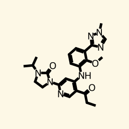 CCC(=O)c1cnc(N2CCN(C(C)C)C2=O)cc1Nc1cccc(-c2ncn(C)n2)c1OC